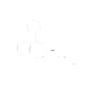 COC(=O)CC[C@@H]1N=C(c2ccccc2)c2cc(Cl)ccc2NC1=O